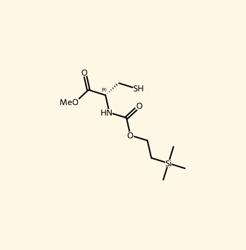 COC(=O)[C@H](CS)NC(=O)OCC[Si](C)(C)C